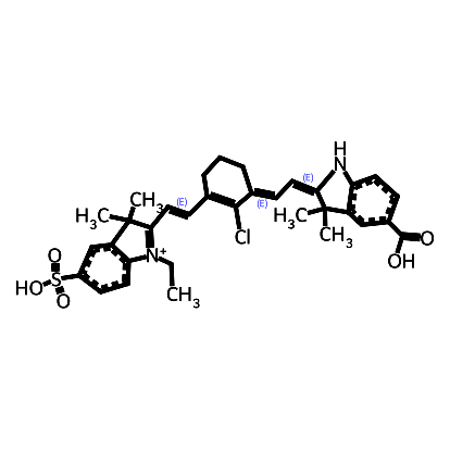 CC[N+]1=C(/C=C/C2=C(Cl)C(=C/C=C3/Nc4ccc(C(=O)O)cc4C3(C)C)/CCC2)C(C)(C)c2cc(S(=O)(=O)O)ccc21